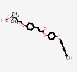 C#CC#CC#COc1ccc(OC(=O)/C=C/c2ccc(OCCC[Si](C)(C)OC)cc2)cc1